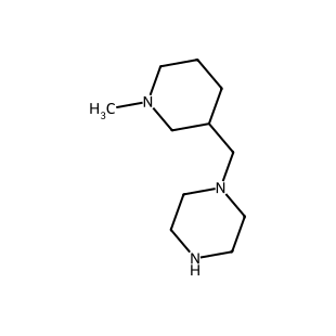 CN1CCCC(CN2CCNCC2)C1